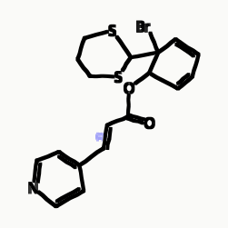 O=C(/C=C/c1ccncc1)OC1C=CC=CC1(Br)C1SCCCS1